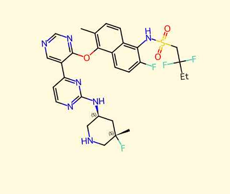 CCC(F)(F)CS(=O)(=O)Nc1c(F)ccc2c(Oc3ncncc3-c3ccnc(N[C@@H]4CNC[C@@](C)(F)C4)n3)c(C)ccc12